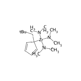 C[N](C)[Zr]([N](C)C)([N](C)C)[C]1(CC(C)(C)C)C=CC=C1